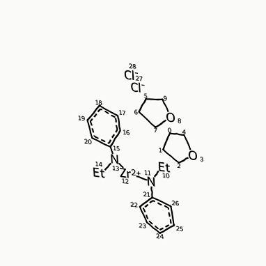 C1CCOC1.C1CCOC1.CC[N]([Zr+2][N](CC)c1ccccc1)c1ccccc1.[Cl-].[Cl-]